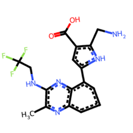 Cc1nc2cccc(-c3cc(C(=O)O)c(CN)[nH]3)c2nc1NCC(F)(F)F